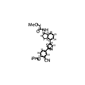 COCC(=O)N[C@H]1CCc2c(-c3cnc(-c4ccc(OC(C)C)c(C#N)c4)s3)cccc21